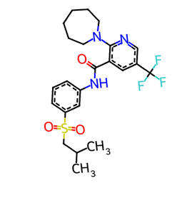 CC(C)CS(=O)(=O)c1cccc(NC(=O)c2cc(C(F)(F)F)cnc2N2CCCCCC2)c1